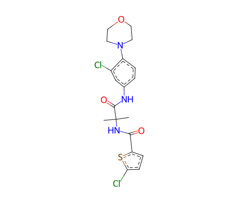 CC(C)(NC(=O)c1ccc(Cl)s1)C(=O)Nc1ccc(N2CCOCC2)c(Cl)c1